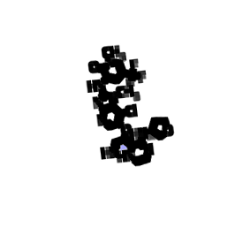 Cn1cc(C(F)(F)F)cc(Nc2nc3ncc(O/C(C=N)=C4/NC=CN=C4N[C@H]4CCOC4)c(Cl)c3n2C)c1=O